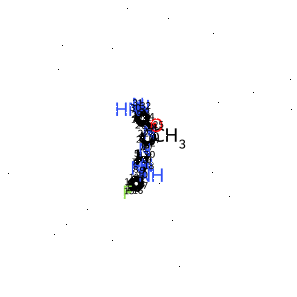 C[C@@H]1C[C@@H](N2Cc3cnc(Nc4ccc(F)cc4)nc3C2)CCN1C(=O)c1ccc2[nH]nnc2c1